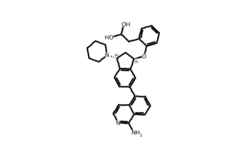 Nc1nccc2c(-c3ccc4c(c3)[C@H](Oc3ccccc3CC(O)O)C[C@H]4N3CCCCC3)cccc12